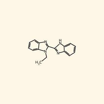 CCn1c(-c2nc3ccccc3[nH]2)nc2ccccc21